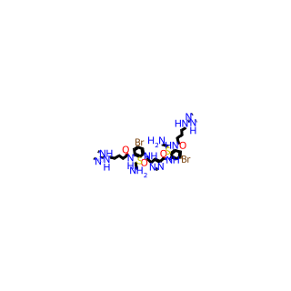 C/N=C(\NC)NCCCCC(=O)Nc1cc(Br)cc(NC(=O)c2cc(C(=O)Nc3cc(Br)cc(NC(=O)CCCCN/C(=N/C)NC)c3SCCN)ncn2)c1SCCN